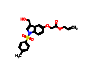 C=CCOC(=O)COc1ccc2c(c1)c(CO)cn2S(=O)(=O)c1ccc(C)cc1